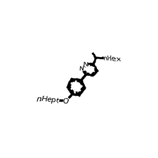 CCCCCCCOc1ccc(-c2ccc(C(C)CCCCCC)nn2)cc1